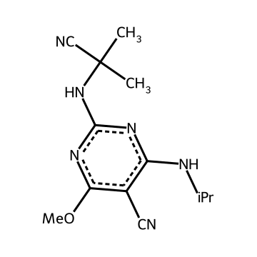 COc1nc(NC(C)(C)C#N)nc(NC(C)C)c1C#N